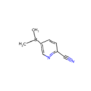 CB(C)c1ccc(C#N)nc1